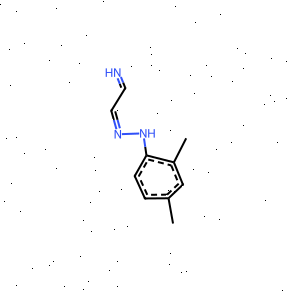 Cc1ccc(N/N=C\C=N)c(C)c1